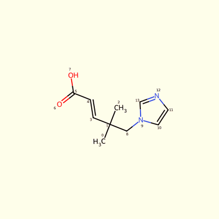 CC(C)(C=CC(=O)O)Cn1ccnc1